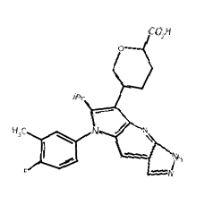 Cc1cc(-n2c(C(C)C)c(C3CCC(C(=O)O)OC3)c3nc4[nH]ncc4cc32)ccc1F